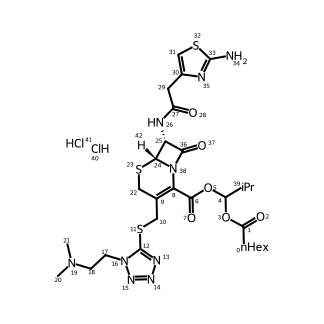 CCCCCCC(=O)OC(OC(=O)C1=C(CSc2nnnn2CCN(C)C)CS[C@@H]2[C@H](NC(=O)Cc3csc(N)n3)C(=O)N12)C(C)C.Cl.Cl